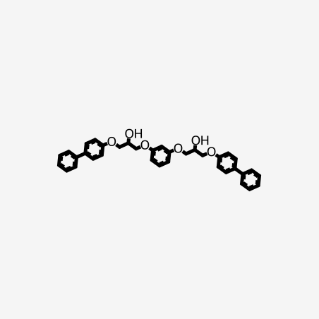 OC(COc1ccc(-c2ccccc2)cc1)COc1cccc(OCC(O)COc2ccc(-c3ccccc3)cc2)c1